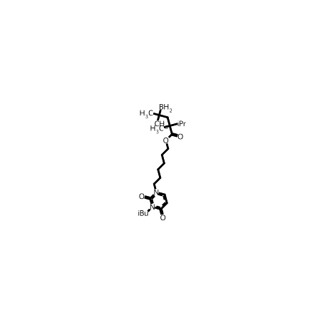 BC(C)(C)CC(C)(C(=O)OCCCCCCn1ccc(=O)n(C(C)CC)c1=O)C(C)C